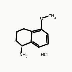 COc1cccc2c1CCC[C@@H]2N.Cl